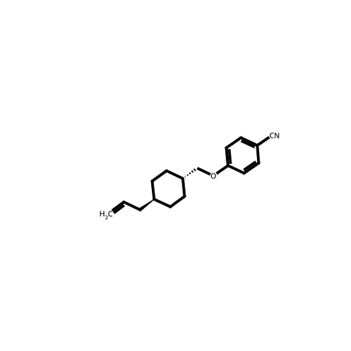 C=CC[C@H]1CC[C@H](COc2ccc(C#N)cc2)CC1